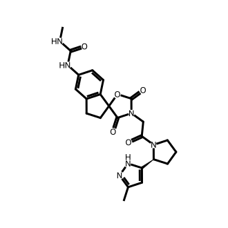 CNC(=O)Nc1ccc2c(c1)CCC21OC(=O)N(CC(=O)N2CCC[C@H]2c2cc(C)n[nH]2)C1=O